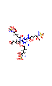 COC(CCCC(O)Nc1nc(NC(O)CCCC(O)NS(=O)(=O)O)nc(N(C(O)CCCC=O)C(O)CCCC(NS(=O)(=O)O)OC)n1)N[SH](=O)=O